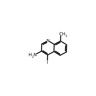 Cc1cccc2c(I)c(N)cnc12